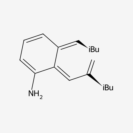 C=C(/C=c1/c(N)ccc/c1=C/[C@H](C)CC)[C@H](C)CC